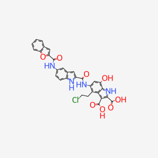 O=C(Nc1cc(O)c2[nH]c(C(=O)O)c(C(=O)O)c2c1CCCl)c1cc2cc(NC(=O)c3cc4ccccc4o3)ccc2[nH]1